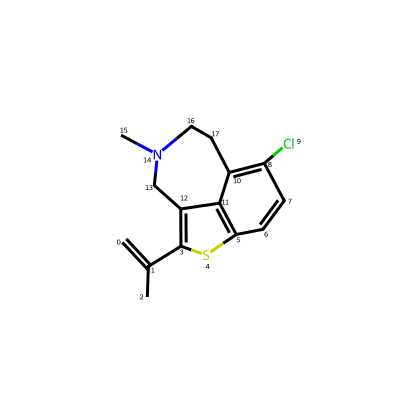 C=C(C)c1sc2ccc(Cl)c3c2c1CN(C)CC3